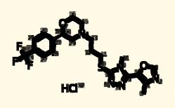 Cc1ncoc1-c1nnc(SCCCN2CCO[C@H](c3ccc(C(F)(F)F)cc3)C2)n1C.Cl